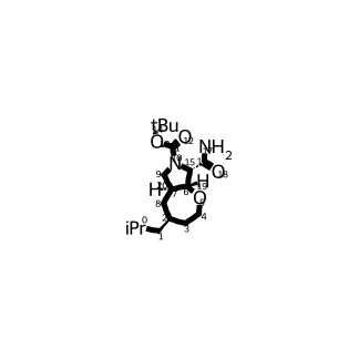 CC(C)C[C@@H]1CCO[C@@H]2[C@@H](C1)CN(C(=O)OC(C)(C)C)[C@@H]2C(N)=O